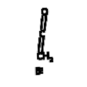 C=C=O.[B]